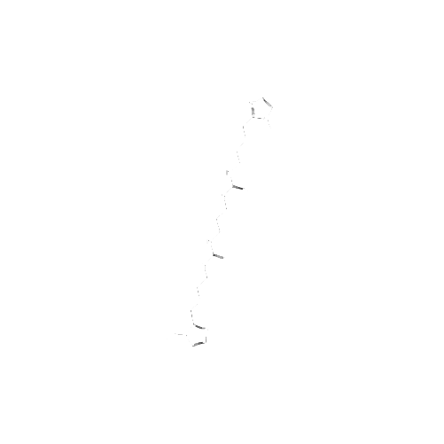 Cn1ccnc1CSCCNC(=S)NCCCNC(=S)NCCSCc1nccn1C